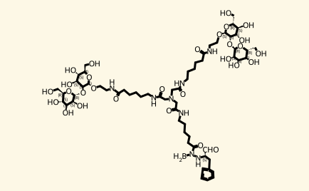 BN(N[C@H](C=O)Cc1ccccc1)C(=O)CCCCCNC(=O)CN(CC(=O)NCCCCCC(=O)NCCO[C@H]1O[C@H](CO)[C@@H](O)[C@H](O)[C@@H]1O[C@H]1O[C@H](CO)[C@@H](O)[C@H](O)[C@@H]1O)CC(=O)NCCCCCC(=O)NCCO[C@H]1O[C@H](CO)[C@@H](O)[C@H](O)[C@@H]1O[C@H]1O[C@H](CO)[C@@H](O)[C@H](O)[C@@H]1O